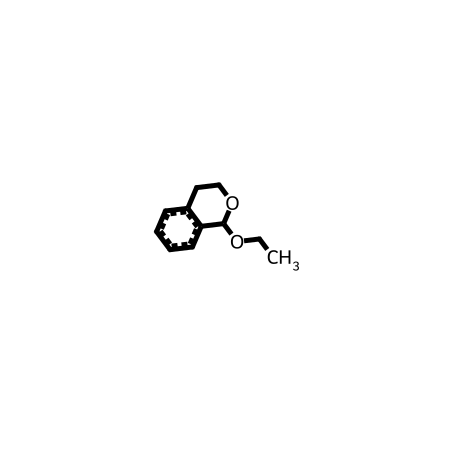 CCOC1OCCc2ccccc21